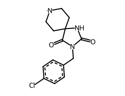 O=C1NC2(CC[N]CC2)C(=O)N1Cc1ccc(Cl)cc1